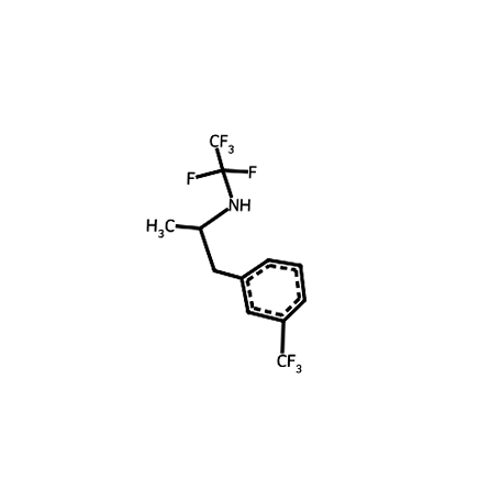 CC(Cc1cccc(C(F)(F)F)c1)NC(F)(F)C(F)(F)F